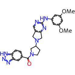 COc1cc(Nc2ncc3c(n2)CN(C2CCN(C(=O)c4ccc5[nH]nnc5c4)C2)C3)cc(OC)c1